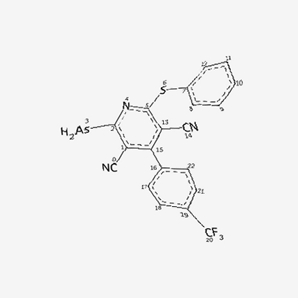 N#Cc1c([AsH2])nc(Sc2ccccc2)c(C#N)c1-c1ccc(C(F)(F)F)cc1